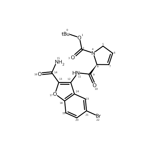 CC(C)(C)OC(=O)N1CC=C[C@H]1C(=O)Nc1c(C(N)=O)oc2ccc(Br)cc12